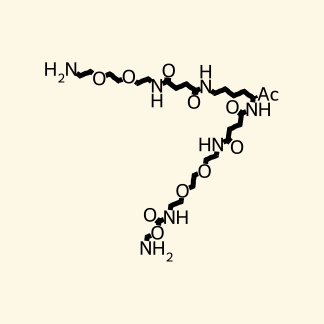 CC(=O)[C@H](CCCCNC(=O)CCC(=O)NCCOCCOCCN)NC(=O)CCC(=O)NCCOCCOCCNC(=O)OCN